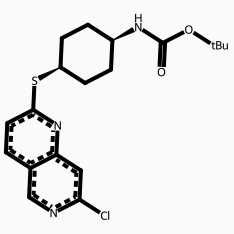 CC(C)(C)OC(=O)N[C@H]1CC[C@@H](Sc2ccc3cnc(Cl)cc3n2)CC1